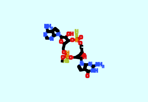 CO[PH]1(S)OCC2OC(n3ccc4c(N)ncnc43)C(O)C2OP(=O)(S)OCC2OC(n3ccc4c(=O)[nH]c(N)nc43)C(O1)C2O